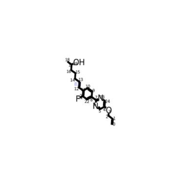 C=CCOc1cnc(-c2ccc(/C=C/CCCC(C)O)c(F)c2)nc1